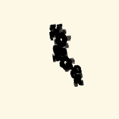 CC(C)(C)OC(=O)N1CCC(NS(=O)(=O)c2cccc(C(F)(F)F)c2)CC1